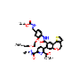 CCCNC(=O)c1ccc(-c2cc3c(cc2C(=O)Nc2ccc(CNC(=O)OC(C)(C)C)cc2OCCOCCOC)-c2sccc2CCO3)c(C(=O)OC)n1